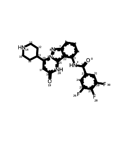 O=C(Nc1cccc2nn3c(C4CCNCC4)cc(=O)[nH]c3c12)c1cc(F)c(F)c(F)c1